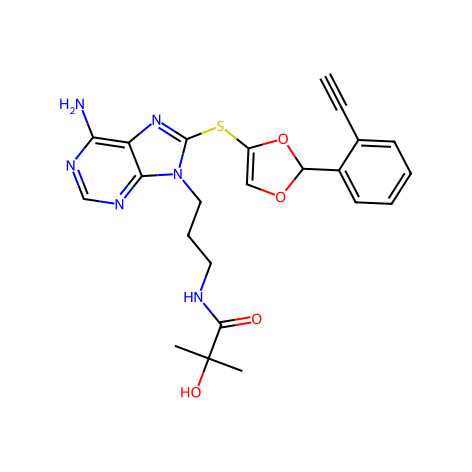 C#Cc1ccccc1C1OC=C(Sc2nc3c(N)ncnc3n2CCCNC(=O)C(C)(C)O)O1